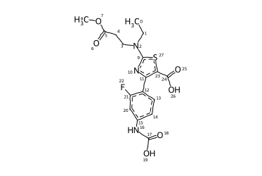 CCN(CCC(=O)OC)c1nc(-c2ccc(NC(=O)O)cc2F)c(C(=O)O)s1